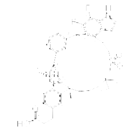 C[C@@H](Cc1cccc([C@@]2(C)CCCC(C)(C)CS(=O)(=O)CCc3c(c(F)c(F)c4[nH]ccc34)Cc3ccnc(c3)-c3nc2nn3C)c1)C(=O)O